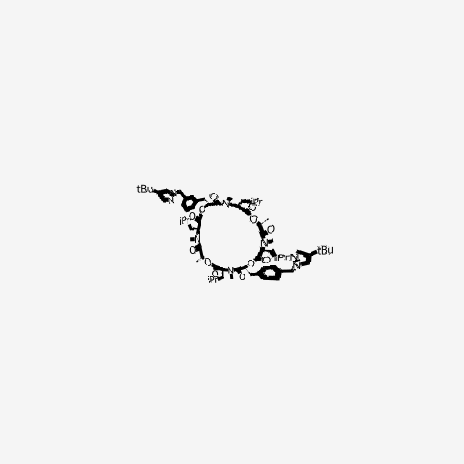 CC(C)C[C@H]1C(=O)O[C@H](Cc2cccc(Cn3cc(C(C)(C)C)cn3)c2)C(=O)N(C)[C@@H](CC(C)C)C(=O)O[C@H](C)C(=O)N(C)[C@@H](CC(C)C)C(=O)O[C@H](Cc2ccc(Cn3cc(C(C)(C)C)cn3)cc2)C(=O)N(C)[C@@H](CC(C)C)C(=O)O[C@H](C)C(=O)N1C